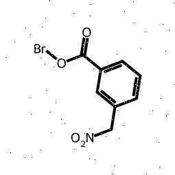 O=C(OBr)c1cccc(C[N+](=O)[O-])c1